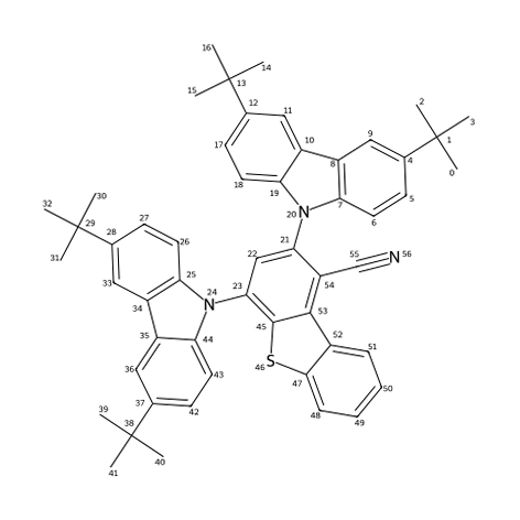 CC(C)(C)c1ccc2c(c1)c1cc(C(C)(C)C)ccc1n2-c1cc(-n2c3ccc(C(C)(C)C)cc3c3cc(C(C)(C)C)ccc32)c2sc3ccccc3c2c1C#N